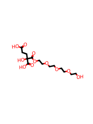 O=C(O)CCC(O)(C(=O)O)C(=O)OCCOCCOCCOCCO